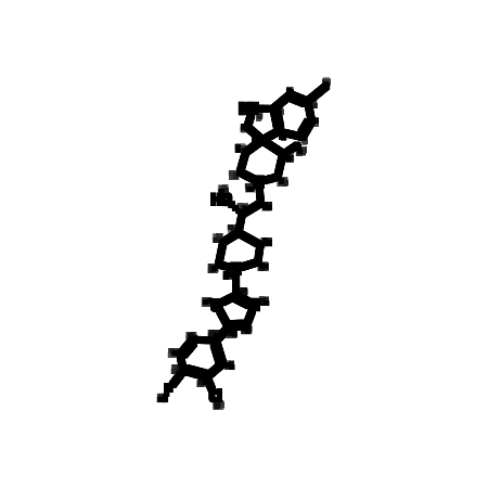 Cc1ccc2c(c1)NCC21CCN(C[C@@H](O)C2CCN(c3ncc(-c4ccc(F)c(Cl)c4)o3)CC2)C[C@@H]1C